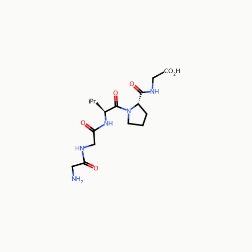 CC(C)[C@H](NC(=O)CNC(=O)CN)C(=O)N1CCC[C@H]1C(=O)NCC(=O)O